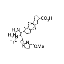 COCc1ccnc(OC/C(=C(/N)c2ccc(OC3CC4CCC(C(=O)O)C4C3)c(C)n2)N(C)N)n1